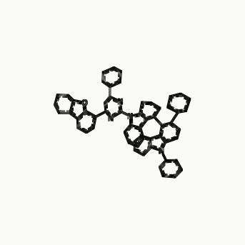 c1ccc(-c2cc(-c3cccc4c3oc3ccccc34)nc(-n3c4ccccc4c4c(-c5c(-c6ccccc6)ccc6c5c5ccccc5n6-c5ccccc5)cccc43)n2)cc1